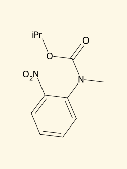 CC(C)OC(=O)N(C)c1ccccc1[N+](=O)[O-]